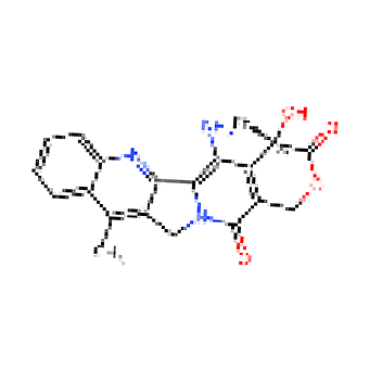 CC[C@@]1(O)C(=O)OCc2c1c(N)c1n(c2=O)Cc2c-1nc1ccccc1c2C